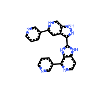 c1cncc(-c2cc3c(-c4nc5c(-c6cccnc6)nccc5[nH]4)n[nH]c3cn2)c1